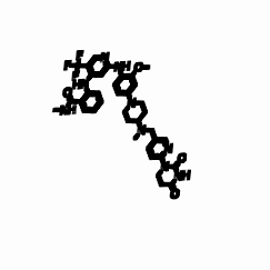 CNC(=O)c1ccccc1Nc1cc(Nc2ccc(N3CCC(N(C)Cc4ccc(N5CCC(=O)NC5=O)nc4)CC3)cc2OC)ncc1C(F)(F)F